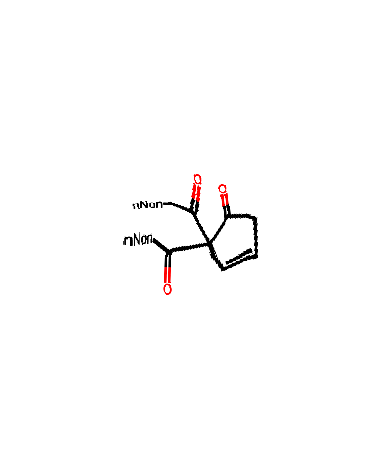 CCCCCCCCCC(=O)C1(C(=O)CCCCCCCCC)C=CCC1=O